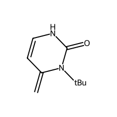 C=C1C=CNC(=O)N1C(C)(C)C